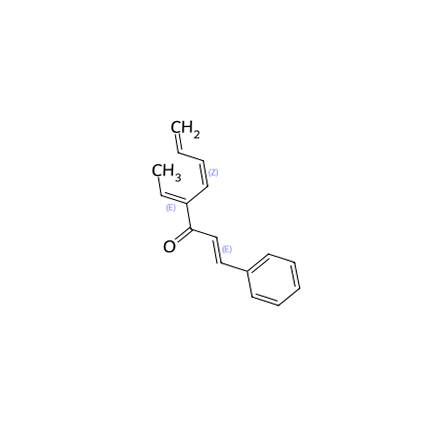 C=C/C=C\C(=C/C)C(=O)/C=C/c1ccccc1